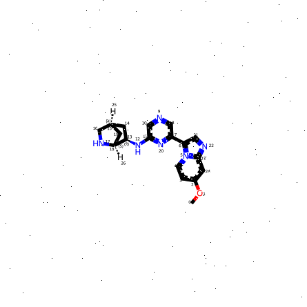 COc1ccn2c(-c3cncc(N[C@@H]4C[C@@H]5CN[C@H]4C5)n3)cnc2c1